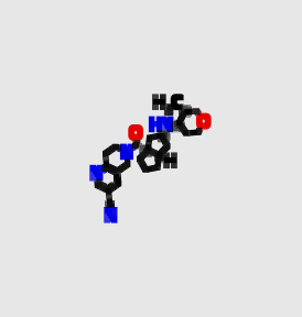 C[C@@H]1COCC[C@@H]1N[C@@H]1C[C@H]2CCC[C@@]2(C(=O)N2CCc3ncc(C#N)cc3C2)C1